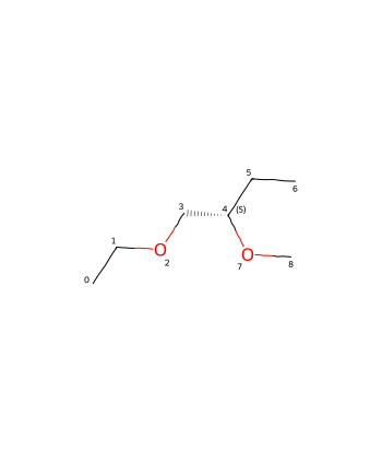 CCOC[C@H](CC)OC